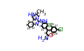 C[C@@H]1CN(/C(=N\C2CCCCC2)Nc2ccc(C(CC(N)=O)c3ccc(Cl)cc3Cl)cc2)CCN1